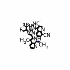 C=C(c1cccnc1/C=C\C)[C@H](Nc1cc(C#N)c2ncc(C#N)c(NCC(C)(C)C)c2c1)c1cn(C(CF)CF)nn1